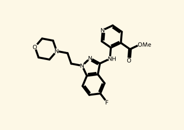 COC(=O)c1ccncc1Nc1nn(CCN2CCOCC2)c2ccc(F)cc12